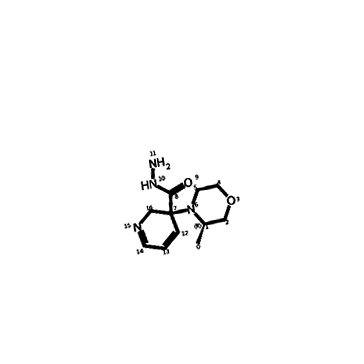 C[C@@H]1COCCN1C1(C(=O)NN)C=CC=NC1